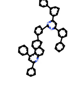 c1ccc(-c2cccc(-c3cc(-c4cccc(-c5ccccc5)c4)nc(-c4cccc(-c5ccc6c(ccc7nc(-c8ccccc8)cc(-c8ccccc8)c76)c5)c4)n3)c2)cc1